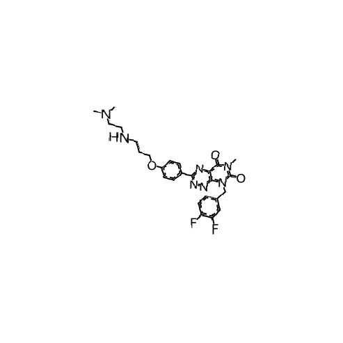 CN(C)CCNCCCOc1ccc(-c2nnc3c(n2)c(=O)n(C)c(=O)n3Cc2ccc(F)c(F)c2)cc1